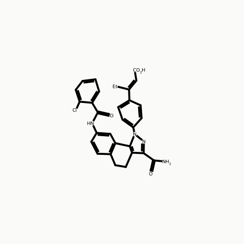 CC/C(=C\C(=O)O)c1ccc(-n2nc(C(N)=O)c3c2-c2cc(NC(=O)c4ccccc4Cl)ccc2CC3)cc1